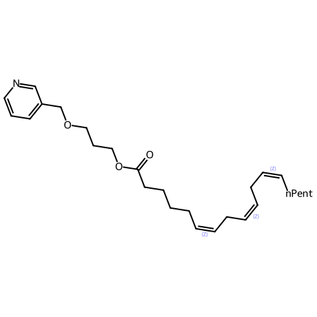 CCCCC/C=C\C/C=C\C/C=C\CCCCC(=O)OCCCOCc1cccnc1